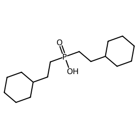 O=P(O)(CCC1CCCCC1)CCC1CCCCC1